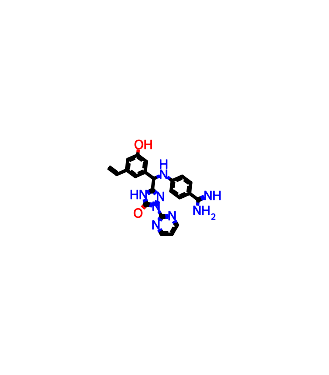 C=Cc1cc(O)cc(C(Nc2ccc(C(=N)N)cc2)c2nn(-c3ncccn3)c(=O)[nH]2)c1